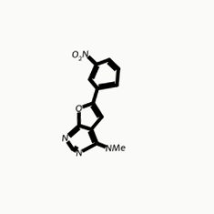 CNc1ncnc2oc(-c3cccc([N+](=O)[O-])c3)cc12